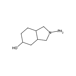 OC1CCC2CN(P)CC2C1